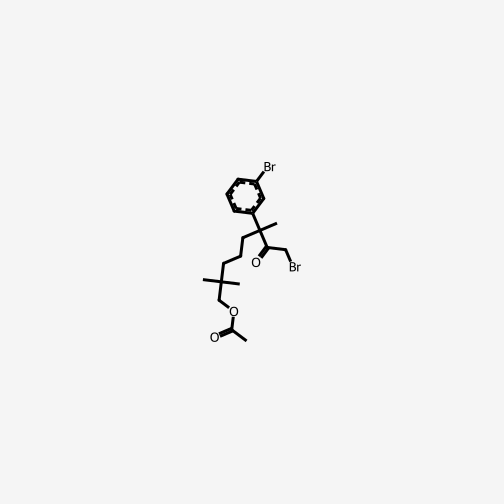 CC(=O)OCC(C)(C)CCCC(C)(C(=O)CBr)c1cccc(Br)c1